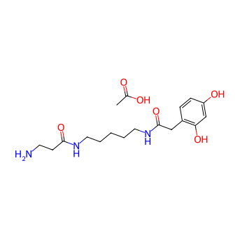 CC(=O)O.NCCC(=O)NCCCCCNC(=O)Cc1ccc(O)cc1O